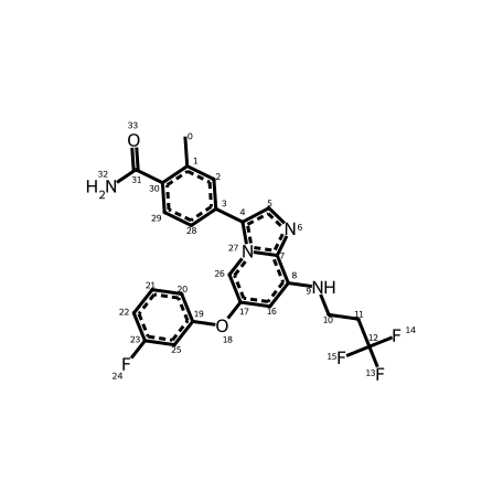 Cc1cc(-c2cnc3c(NCCC(F)(F)F)cc(Oc4cccc(F)c4)cn23)ccc1C(N)=O